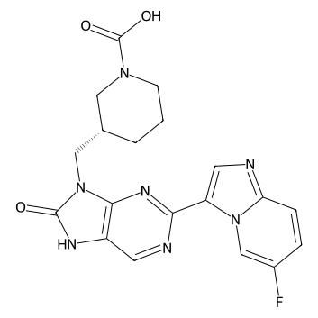 O=C(O)N1CCC[C@H](Cn2c(=O)[nH]c3cnc(-c4cnc5ccc(F)cn45)nc32)C1